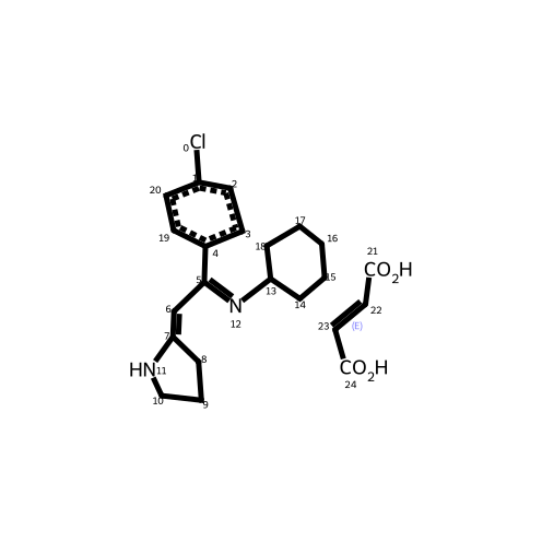 Clc1ccc(C(C=C2CCCN2)=NC2CCCCC2)cc1.O=C(O)/C=C/C(=O)O